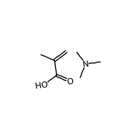 C=C(C)C(=O)O.CN(C)C